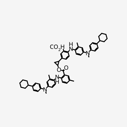 Cc1ccc(Nc2ccc(N(C)c3ccc(C4CCCCC4)cc3)cc2C)c(C(=O)OC2CC2c2ccc(Nc3ccc(N(C)c4ccc(C5CCCCC5)cc4)cc3C)c(C(=O)O)c2)c1